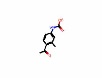 CC(=O)c1ccc(NC(=O)O)cc1C